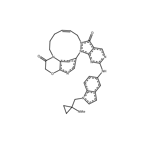 CNC1(Cn2ccc3cc(Nc4ncc5c(=O)n6n(c5n4)-c4cnc5c(c4)N(CCC/C=C\C6)C(=O)CO5)ccc32)CC1